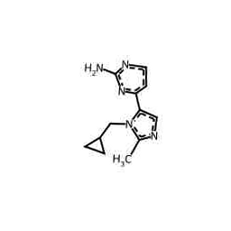 Cc1ncc(-c2ccnc(N)n2)n1CC1CC1